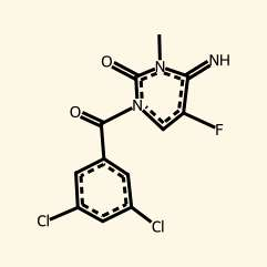 Cn1c(=N)c(F)cn(C(=O)c2cc(Cl)cc(Cl)c2)c1=O